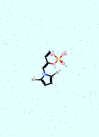 C=CC(=Cn1c(Br)ccc1Br)OP(=O)(O)O